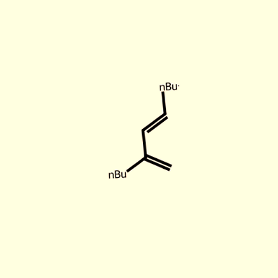 C=C(C=C[CH]CCC)CCCC